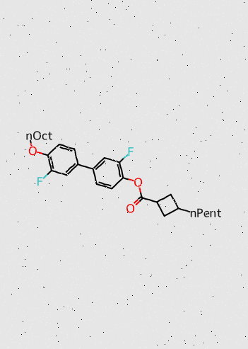 CCCCCCCCOc1ccc(-c2ccc(OC(=O)C3CC(CCCCC)C3)c(F)c2)cc1F